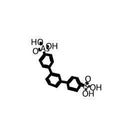 O=[As](O)(O)c1ccc(-c2cccc(-c3ccc([As](=O)(O)O)cc3)c2)cc1